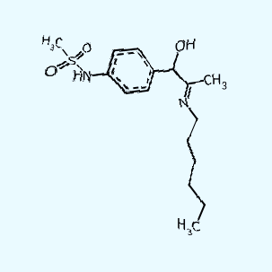 CCCCCCN=C(C)C(O)c1ccc(NS(C)(=O)=O)cc1